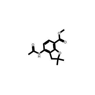 COC(=O)c1ccc(NC(C)=O)c2c1OC(C)(C)C2